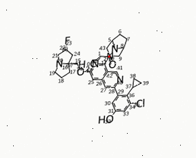 C=CC(=O)N1C2CCC1CN(c1nc(OC[C@@]34CCCN3C[C@H](F)C4)cc3cc(-c4cc(O)cc(Cl)c4C4CC4)ncc13)C2